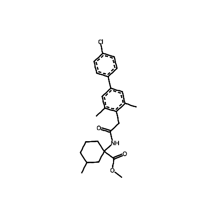 COC(=O)C1(NC(=O)Cc2c(C)cc(-c3ccc(Cl)cc3)cc2C)CCCC(C)C1